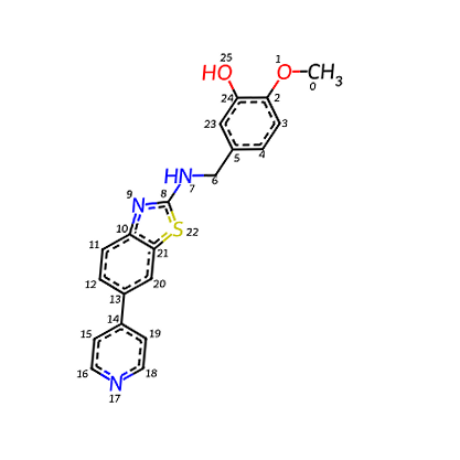 COc1ccc(CNc2nc3ccc(-c4ccncc4)cc3s2)cc1O